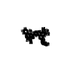 CCC1(CC)CC(=O)N(C(CCOC)c2cccc(C(=O)N[C@@H]3c4ccccc4OC(C)(C)C3(C)O)c2)C(=N)N1